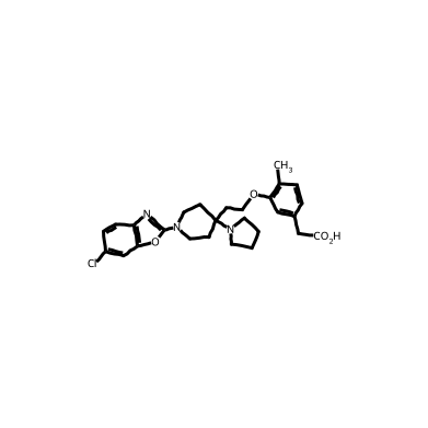 Cc1ccc(CC(=O)O)cc1OCCC1(N2CCCC2)CCN(c2nc3ccc(Cl)cc3o2)CC1